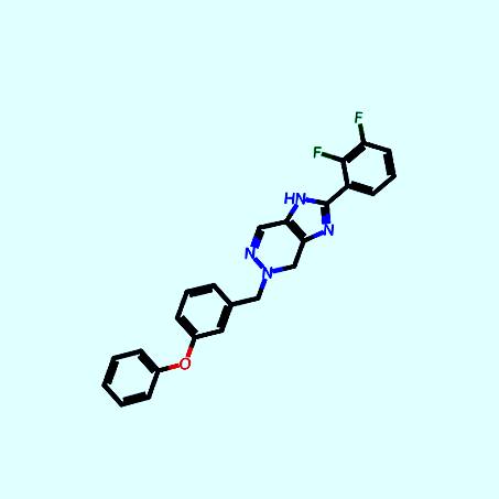 Fc1cccc(-c2nc3c([nH]2)C=NN(Cc2cccc(Oc4ccccc4)c2)C3)c1F